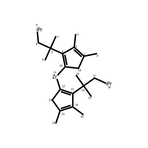 CC1=C(C)C(C(C)(C)CC(C)C)=[C]([Zr][C]2=C(C(C)(C)CC(C)C)C(C)=C(C)C2)C1